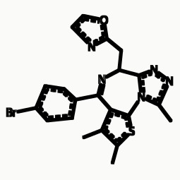 Cc1sc2c(c1C)C(c1ccc(Br)cc1)=NC(Cc1ncco1)c1nnc(C)n1-2